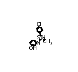 Cn1nc(-c2ccc(Cl)cc2)sc1=Nc1cccc(O)c1